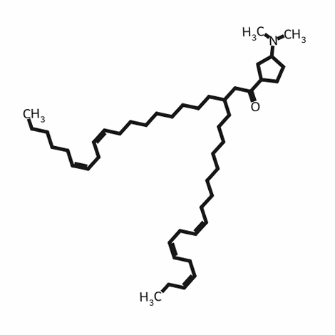 CC/C=C\C/C=C\C/C=C\CCCCCCCCC(CCCCCCCC/C=C\C/C=C\CCCCC)CC(=O)C1CCC(N(C)C)C1